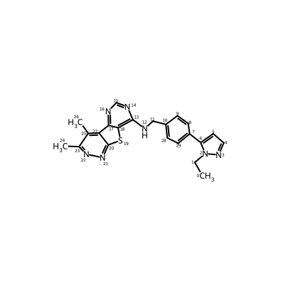 CCn1nccc1-c1ccc(CNc2ncnc3c2sc2nnc(C)c(C)c23)cc1